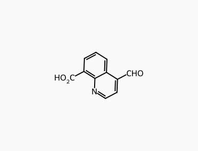 O=Cc1ccnc2c(C(=O)O)cccc12